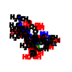 CC[C@H](CC(C)O)C(=O)N[C@H]1C(=O)C[C@@H](CC(N)=O)C(=O)N[C@H]2C(=O)C[C@H]3C(=O)N[C@H](C(=O)N[C@H](C(=O)OCC(=O)N(C)CCN(C)C)c4cc(O)cc5c4-c4cc3ccc4C5(O)O)[C@H](O[C@H]3C[C@](C)(N)[C@@H](O)[C@H](C)O3)c3ccc(c(Cl)c3)Oc3cc2cc(c3O[C@@H]2O[C@H](CO)[C@@H](O)[C@H](O)[C@H]2O[C@H]2C[C@](C)(NCc3ccc(-c4ccc(Cl)cc4)cc3)[C@@H](O)[C@H](C)O2)Oc2ccc(cc2Cl)[C@H]1O